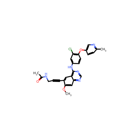 COc1cc2ncnc(Nc3ccc(Oc4ccc(C)nc4)c(Cl)c3)c2cc1C#CCNC(C)=O